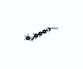 CCCCCC1COC(c2ccc(-c3ccc(-c4cc(F)c(/C=C/C(F)(F)Oc5cc(F)c(F)c(F)c5)c(F)c4)c(F)c3)cc2)OC1